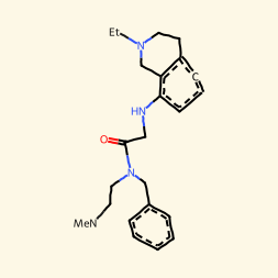 CCN1CCc2cccc(NCC(=O)N(CCNC)Cc3ccccc3)c2C1